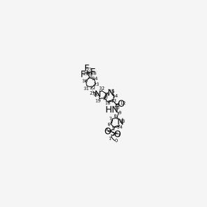 CCS(=O)(=O)c1ccc(CNC(=O)c2cnc3c(c2)CN(C[C@H]2CC[C@H](C(F)(F)F)CC2)C3)nc1